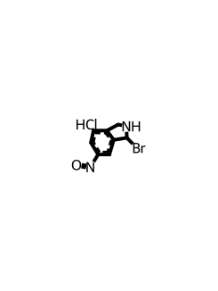 Cl.O=Nc1ccc2c(c1)C(Br)NC2